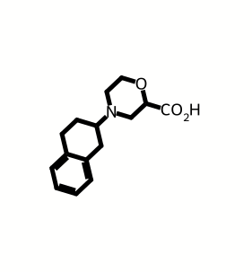 O=C(O)C1CN(C2CCc3ccccc3C2)CCO1